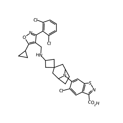 O=C(O)c1nsc2cc(N3C4CCC3CC3(CC(NCc5c(-c6c(Cl)cccc6Cl)noc5C5CC5)C3)C4)c(Cl)cc12